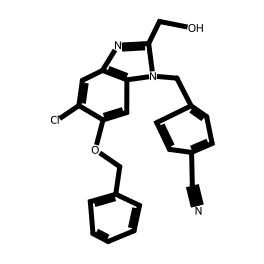 N#Cc1ccc(Cn2c(CO)nc3cc(Cl)c(OCc4ccccc4)cc32)cc1